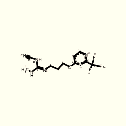 CNC(=NCCCSc1ccnc(C(F)(F)F)n1)NC#N